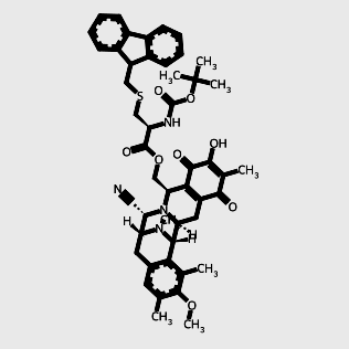 COc1c(C)cc2c(c1C)[C@H]1[C@@H]3CC4=C(C(=O)C(O)=C(C)C4=O)[C@H](COC(=O)[C@@H](CSCC4c5ccccc5-c5ccccc54)NC(=O)OC(C)(C)C)N3[C@@H](C#N)[C@@H](C2)N1C